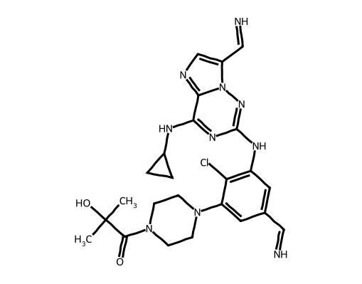 CC(C)(O)C(=O)N1CCN(c2cc(C=N)cc(Nc3nc(NC4CC4)c4ncc(C=N)n4n3)c2Cl)CC1